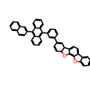 C1=CC2Oc3c(ccc4c3oc3ccccc34)C2C=C1c1cccc(-c2c3ccccc3c(-c3ccc4ccccc4c3)c3ccccc23)c1